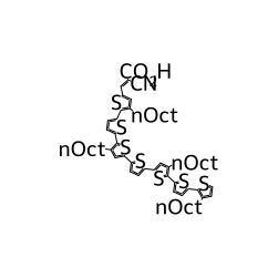 CCCCCCCCc1ccsc1-c1ccc(-c2sc(-c3ccc(-c4cc(CCCCCCCC)c(-c5ccc(-c6sc(/C=C(\C#N)C(=O)O)cc6CCCCCCCC)s5)s4)s3)cc2CCCCCCCC)s1